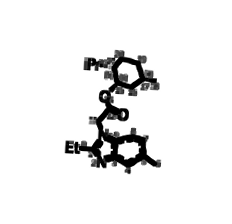 CCc1nc2cc(C)ccc2n1CC(=O)O[C@@H]1C[C@H](C)CC[C@H]1C(C)C